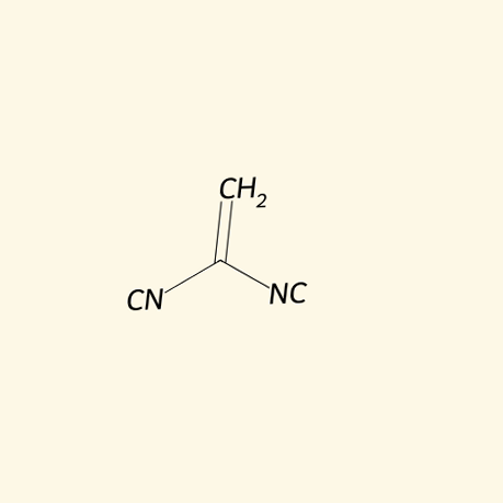 [C-]#[N+]C(=C)[N+]#[C-]